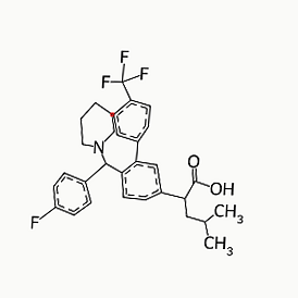 CC(C)CC(C(=O)O)c1ccc(C(c2ccc(F)cc2)N2CCCCC2)c(-c2ccc(C(F)(F)F)cc2)c1